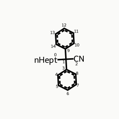 CCCCC[CH]CC(C#N)(c1ccccc1)c1ccccc1